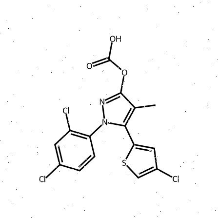 Cc1c(OC(=O)O)nn(-c2ccc(Cl)cc2Cl)c1-c1cc(Cl)cs1